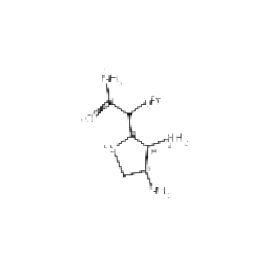 CCCC(C(N)=O)C1SCC(N)C1N